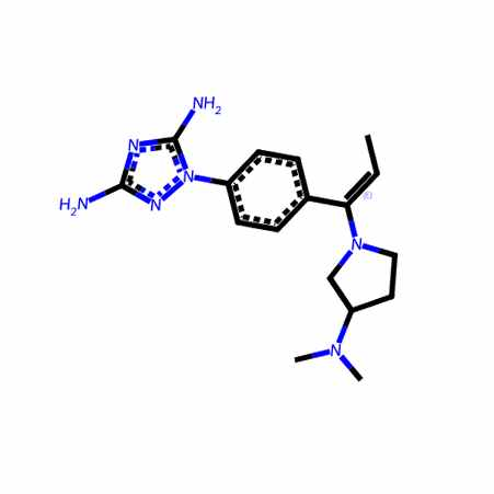 C/C=C(\c1ccc(-n2nc(N)nc2N)cc1)N1CCC(N(C)C)C1